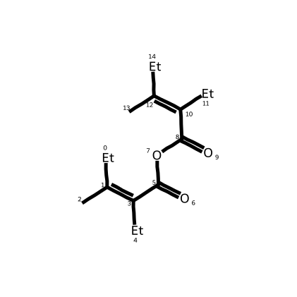 CCC(C)=C(CC)C(=O)OC(=O)C(CC)=C(C)CC